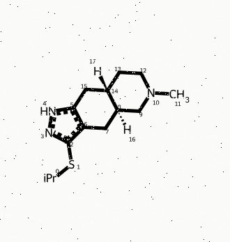 CC(C)Sc1n[nH]c2c1C[C@@H]1CN(C)CC[C@H]1C2